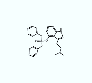 CN(C)CCc1c[nH]c2cccc(OP(=O)(Cc3ccccc3)Cc3ccccc3)c12